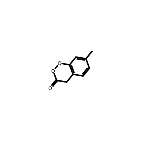 Cc1ccc2c(c1)OOC(=O)C2